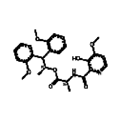 COc1ccccc1C(c1ccccc1OC)[C@H](C)OC(=O)[C@H](C)NC(=O)c1nccc(OC)c1O